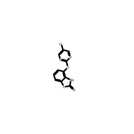 O=c1[nH]c2c(Oc3ncc(Cl)cn3)cccc2o1